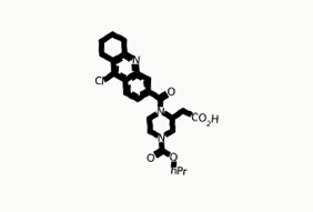 CCCOC(=O)N1CCN(C(=O)c2ccc3c(Cl)c4c(nc3c2)CCCC4)C(CC(=O)O)C1